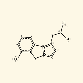 Cc1cccc2c1Cc1ccn(CC(C)O)c1-2